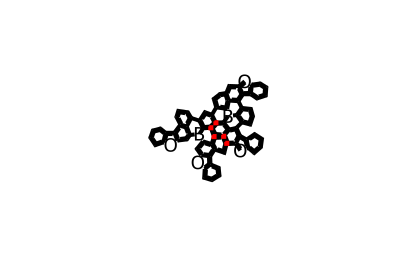 c1cc2c3c(c1)-c1c4c(c(-c5cc6c7c(c5)-c5cccc8c5c(cc5oc9ccccc9c58)B7c5cc7oc8ccccc8c7c7cccc-6c57)ccc4cc4oc5ccccc5c14)B3c1cccc3cc4oc5ccccc5c4c-2c13